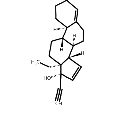 C#C[C@]1(O)C=C[C@H]2[C@@H]3CCC4=CCCC[C@@H]4[C@H]3CC[C@@]21CC